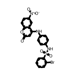 O=c1cc(Nc2ccc(NS(=O)(=O)c3ccccc3Br)cc2)c2cc([N+](=O)[O-])ccc2o1